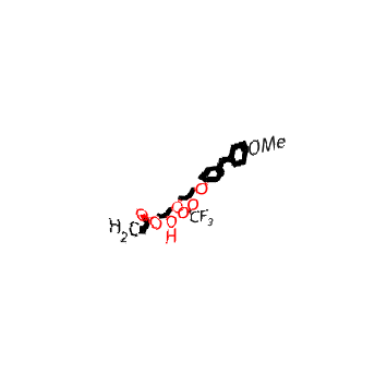 C=CC(=O)OCC(O)COCC(COc1ccc(Cc2ccc(OC)cc2)cc1)OC(=O)C(F)(F)F